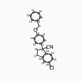 N#CC1(c2ccc(OCc3ccccc3)cc2)CCc2cc(Cl)ccc21